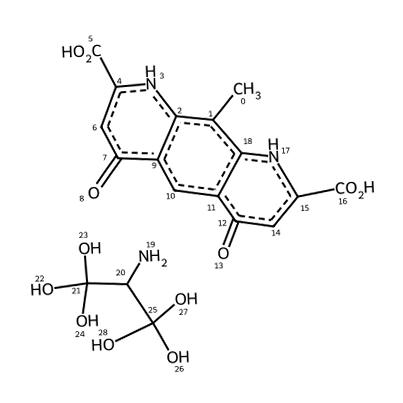 Cc1c2[nH]c(C(=O)O)cc(=O)c2cc2c(=O)cc(C(=O)O)[nH]c12.NC(C(O)(O)O)C(O)(O)O